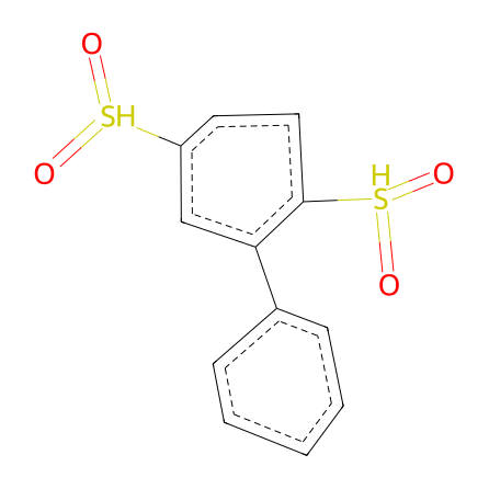 O=[SH](=O)c1ccc([SH](=O)=O)c(-c2ccccc2)c1